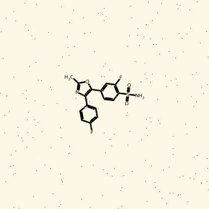 Cc1nc(-c2ccc(F)cc2)c(-c2ccc(S(N)(=O)=O)c(F)c2)o1